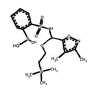 Cc1noc(C(NS(=O)(=O)c2ccccc2B(O)O)OCC[Si](C)(C)C)c1C